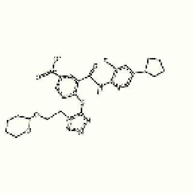 O=C(Nc1ncc(C2CCCC2)cc1F)c1cc([N+](=O)[O-])ccc1Sc1nnnn1CCOC1CCCCO1